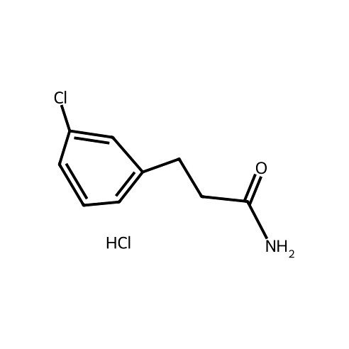 Cl.NC(=O)CCc1cccc(Cl)c1